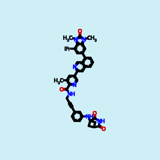 Cc1cc(-c2cc3cccc(-c4cc(C(C)C)c5c(c4)n(C)c(=O)n5C)c3cn2)cnc1C(=O)NCC#Cc1cccc(NC23CC(C2)C(=O)NC3=O)c1